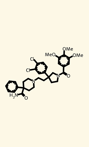 COc1cc(C(=O)N2CCC(CCN3CCC(C(N)=O)(c4ccccc4)CC3)(c3ccc(Cl)c(Cl)c3)C2)cc(OC)c1OC